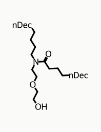 CCCCCCCCCCCCCCN(CCOCCO)C(=O)CCCCCCCCCCCCC